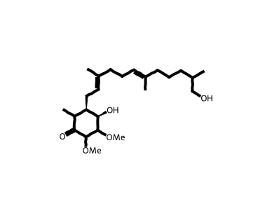 COC1C(=O)C(C)[C@@H](C/C=C(\C)CC/C=C(\C)CCCC(C)CO)[C@@H](O)C1OC